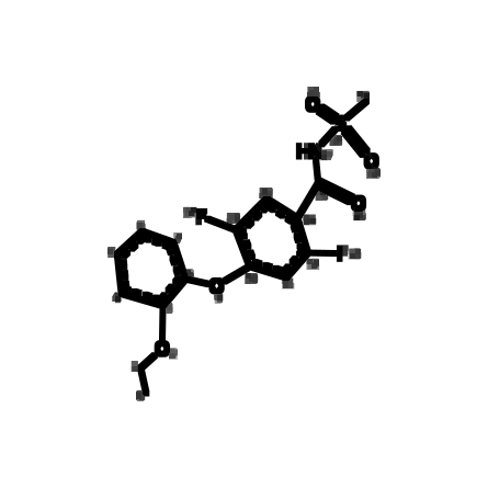 CCOc1ccccc1Oc1cc(F)c(C(=O)NS(C)(=O)=O)cc1F